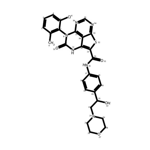 Cc1cccc(Cl)c1N1C(=O)Nc2c(C(=O)Nc3ccc(C(O)CN4CCOCC4)cc3)sc3ncnc1c23